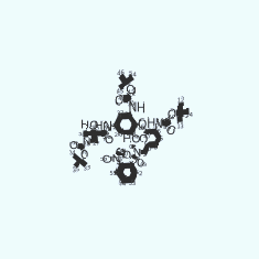 CN(CC1=CC[C@@H](NC(=O)OC(C)(C)C)[C@@H](O[C@H]2[C@H](O)C[C@H](NC(=O)C3(O)CN(C(=O)OC(C)(C)C)C3)C[C@@H]2NC(=O)OC(C)(C)C)O1)S(=O)(=O)c1ccccc1[N+](=O)[O-]